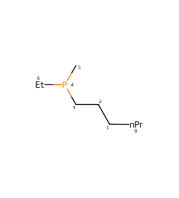 CCCCCCP(C)CC